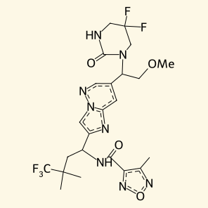 COCC(c1cnn2cc(C(CC(C)(C)C(F)(F)F)NC(=O)c3nonc3C)nc2c1)N1CC(F)(F)CNC1=O